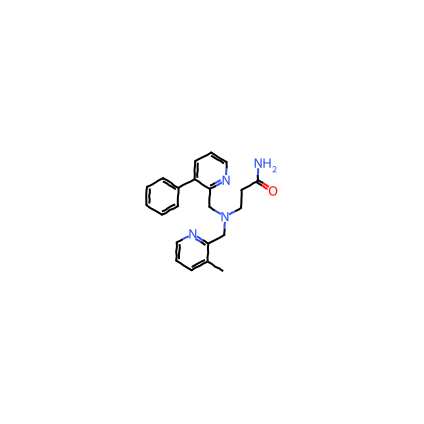 Cc1cccnc1CN(CCC(N)=O)Cc1ncccc1-c1ccccc1